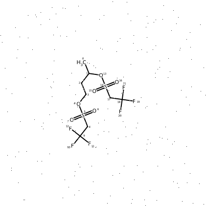 CC(CCOS(=O)(=O)CC(F)(F)F)OS(=O)(=O)CC(F)(F)F